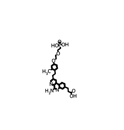 Cc1cc(OCCOCCP(=O)(O)O)ccc1CCc1cnc2c(N)nc3cc(CCC(=O)O)ccc3c2c1